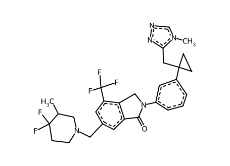 CC1CN(Cc2cc3c(c(C(F)(F)F)c2)CN(c2cccc(C4(Cc5nncn5C)CC4)c2)C3=O)CCC1(F)F